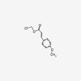 COc1ccc(C=CC(=O)OCCl)cc1